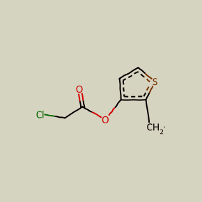 [CH2]c1sccc1OC(=O)CCl